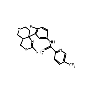 NC1=NC2(c3cc(NC(=O)c4ccc(C(F)(F)F)cn4)ccc3F)CCOCC2CS1